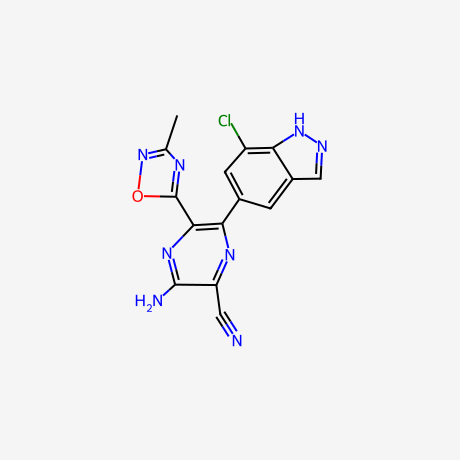 Cc1noc(-c2nc(N)c(C#N)nc2-c2cc(Cl)c3[nH]ncc3c2)n1